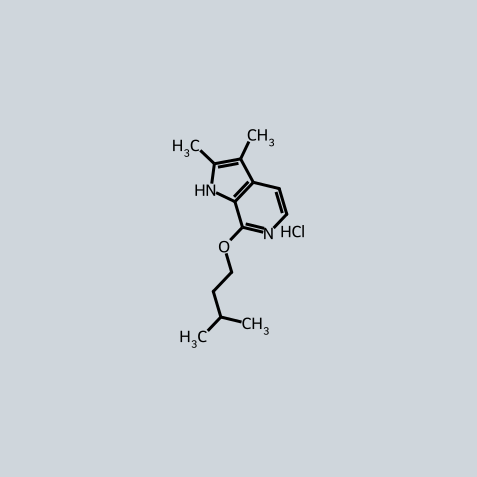 Cc1[nH]c2c(OCCC(C)C)nccc2c1C.Cl